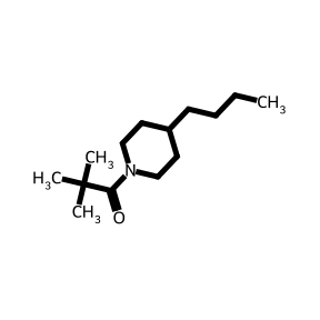 CCCCC1CCN(C(=O)C(C)(C)C)CC1